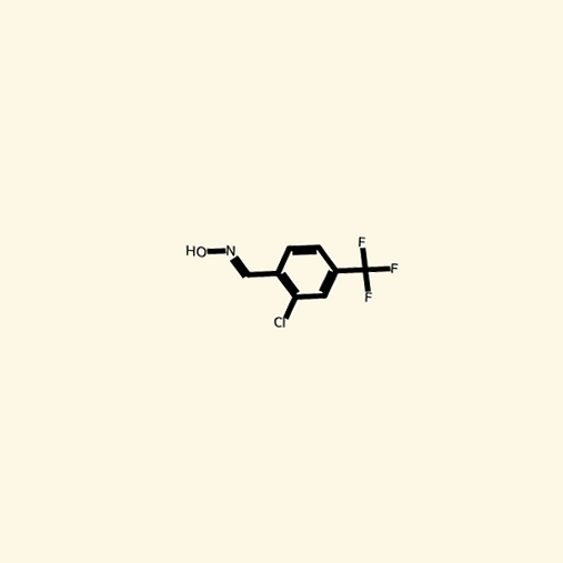 ON=Cc1ccc(C(F)(F)F)cc1Cl